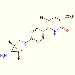 CCc1cc(C(=O)O)c(=O)[nH]c1-c1ccc(N2C[C@@H]3[C@H](N)[C@@H]3C2)cc1